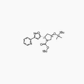 CC(C)(C)OC(=O)N1C[C@H](O[Si](C)(C)C(C)(C)C)C[C@H]1c1cc(-c2ccccn2)no1